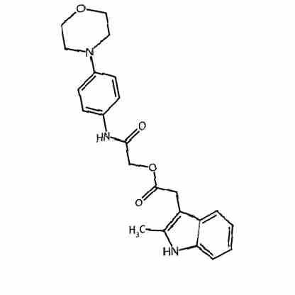 Cc1[nH]c2ccccc2c1CC(=O)OCC(=O)Nc1ccc(N2CCOCC2)cc1